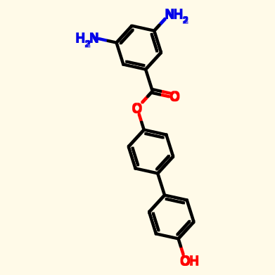 Nc1cc(N)cc(C(=O)Oc2ccc(-c3ccc(O)cc3)cc2)c1